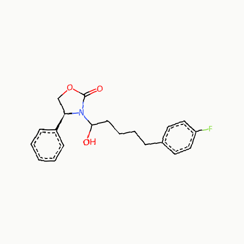 O=C1OC[C@H](c2ccccc2)N1C(O)CCCCc1ccc(F)cc1